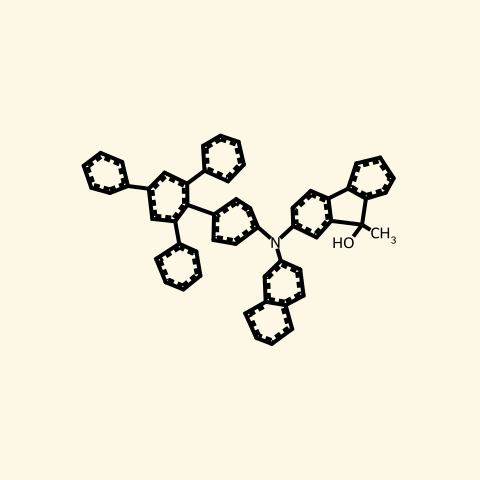 CC1(O)c2ccccc2-c2ccc(N(c3ccc(-c4c(-c5ccccc5)cc(-c5ccccc5)cc4-c4ccccc4)cc3)c3ccc4ccccc4c3)cc21